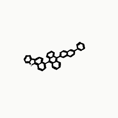 c1ccc(-c2ccc3cc(-c4c5ccccc5c(-c5cccc6c5ccc5c7ccccc7sc65)c5ccccc45)ccc3c2)cc1